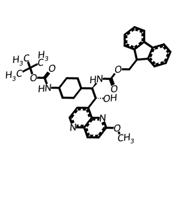 COc1ccc2nccc([C@@H](O)[C@H](NC(=O)OCC3c4ccccc4-c4ccccc43)C3CCC(NC(=O)OC(C)(C)C)CC3)c2n1